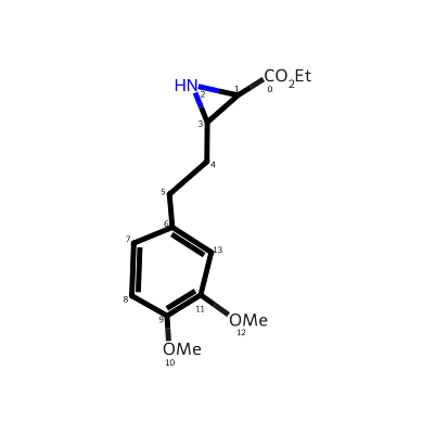 CCOC(=O)C1NC1CCc1ccc(OC)c(OC)c1